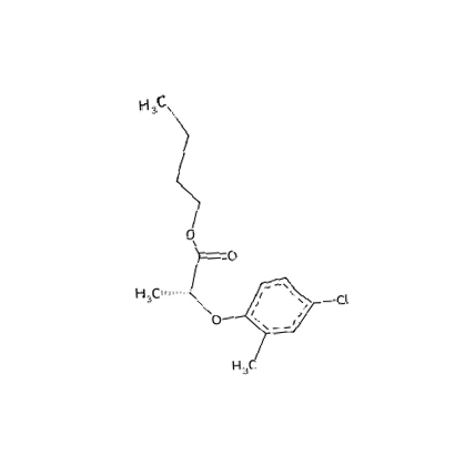 CCCCOC(=O)[C@@H](C)Oc1ccc(Cl)cc1C